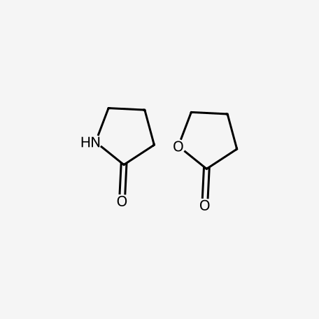 O=C1CCCN1.O=C1CCCO1